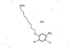 CCCCCCCCCCCCCCCCCCOc1cc(N)c(Cl)cc1Cl.Cl